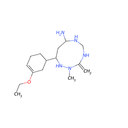 C=C1NCNC(N)CC(C2CCC=C(OCC)C2)NN1C